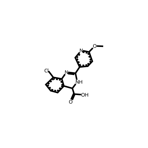 COc1ccc(C2=Nc3c(Cl)cccc3C(C(=O)O)N2)cn1